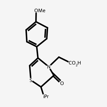 COc1ccc(C2=CSC(C(C)C)C(=O)N2CC(=O)O)cc1